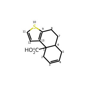 O=C(O)C12CC=CCC1CCc1sccc12